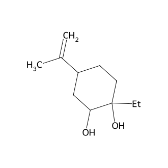 C=C(C)C1CCC(O)(CC)C(O)C1